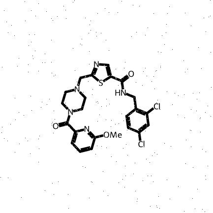 COc1cccc(C(=O)N2CCN(Cc3ncc(C(=O)NCc4ccc(Cl)cc4Cl)s3)CC2)n1